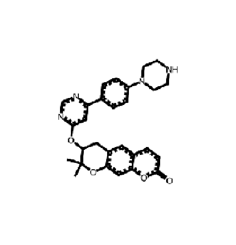 CC1(C)Oc2cc3oc(=O)ccc3cc2CC1Oc1cc(-c2ccc(N3CCNCC3)cc2)ncn1